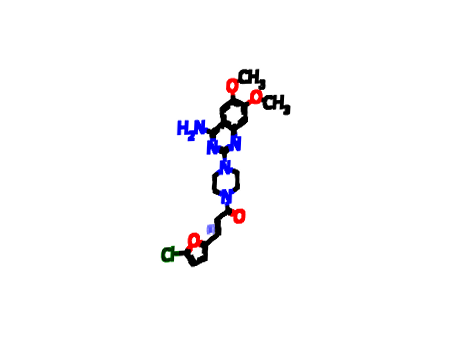 COc1cc2nc(N3CCN(C(=O)/C=C/c4ccc(Cl)o4)CC3)nc(N)c2cc1OC